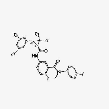 CN(C(=O)c1cc(NC(=O)[C@H]2[C@H](c3cc(Cl)cc(Cl)c3)C2(Cl)Cl)ccc1F)c1ccc(F)cc1